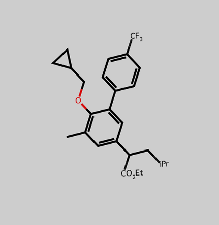 CCOC(=O)C(CC(C)C)c1cc(C)c(OCC2CC2)c(-c2ccc(C(F)(F)F)cc2)c1